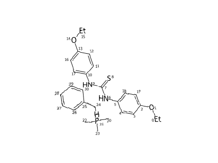 CCOc1ccc(NC(=S)Nc2ccc(OCC)cc2)cc1.C[PH](C)(C)Cc1ccccc1